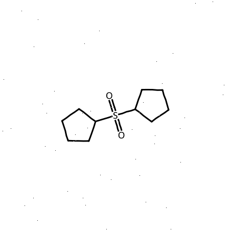 O=S(=O)(C1CCCC1)C1CCCC1